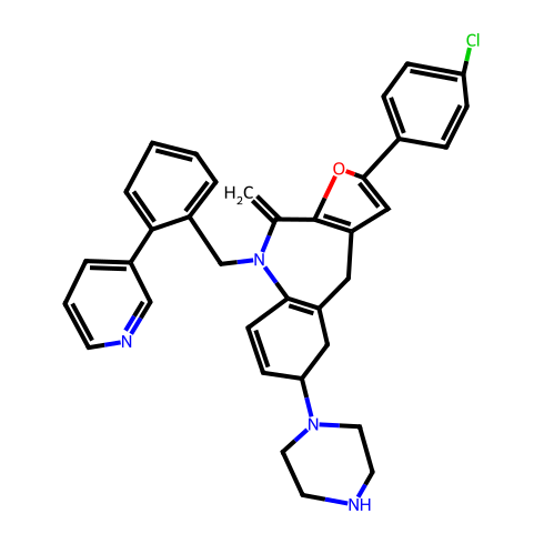 C=C1c2oc(-c3ccc(Cl)cc3)cc2CC2=C(C=CC(N3CCNCC3)C2)N1Cc1ccccc1-c1cccnc1